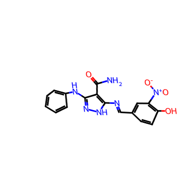 NC(=O)c1c(Nc2ccccc2)n[nH]c1/N=C/c1ccc(O)c([N+](=O)[O-])c1